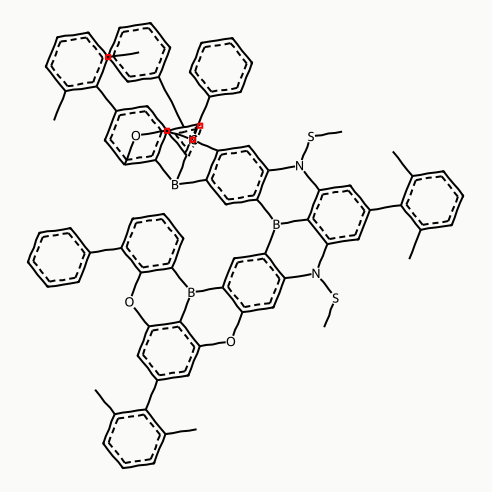 CSN1c2cc3c(cc2B2c4cc5c(cc4N(SC)c4cc(-c6c(C)cccc6C)cc1c42)N(c1ccccc1)c1cc(-c2c(C)cccc2C)cc2c1B5c1cccc(-c4ccccc4)c1O2)B1c2cccc(-c4ccccc4)c2Oc2cc(-c4c(C)cccc4C)cc(c21)O3